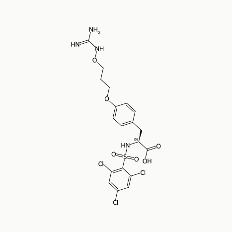 N=C(N)NOCCCOc1ccc(C[C@H](NS(=O)(=O)c2c(Cl)cc(Cl)cc2Cl)C(=O)O)cc1